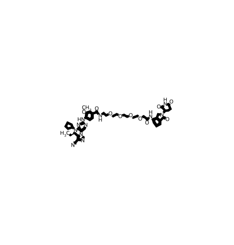 CC[C@@H]1c2c(C#N)ncn2-c2cnc(Nc3ccc(C(=O)NCCOCCOCCOCCOCC(=O)Nc4cccc5c4CN(C4CCC(=O)NC4=O)C5=O)cc3OC)nc2N1C1CCCC1